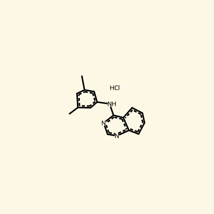 Cc1cc(C)cc(Nc2ncnc3ccccc23)c1.Cl